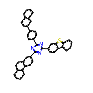 c1ccc2cc(-c3ccc(-c4nc(-c5ccc6c(ccc7ccccc76)c5)nc(-c5ccc6c(c5)sc5ccccc56)n4)cc3)ccc2c1